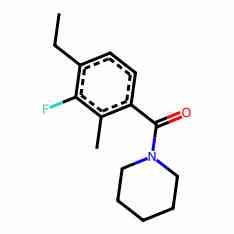 CCc1ccc(C(=O)N2CCCCC2)c(C)c1F